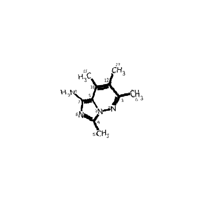 Cc1nn2c(C)nc(N)c2c(C)c1C